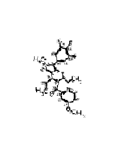 CCC1Cc2c(nn(C)c2-c2cc(F)c(F)c(F)c2)C(CC)N1C(=O)c1cc(OC)ccn1